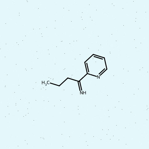 CCCC(=N)c1ccccn1